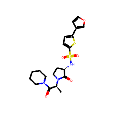 C[C@@H](C(=O)N1CCCCC1)N1CC[C@H](NS(=O)(=O)c2ccc(-c3ccoc3)s2)C1=O